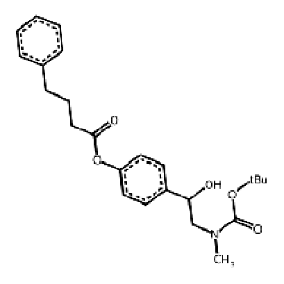 CN(CC(O)c1ccc(OC(=O)CCCc2ccccc2)cc1)C(=O)OC(C)(C)C